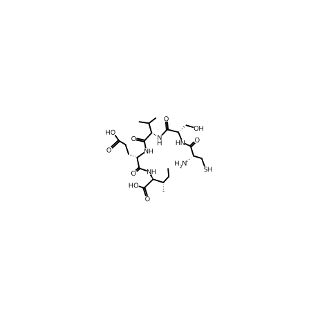 CC[C@H](C)[C@H](NC(=O)[C@H](CCC(=O)O)NC(=O)[C@@H](NC(=O)[C@H](CO)NC(=O)[C@@H](N)CS)C(C)C)C(=O)O